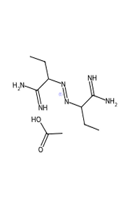 CC(=O)O.CCC(/N=N/C(CC)C(=N)N)C(=N)N